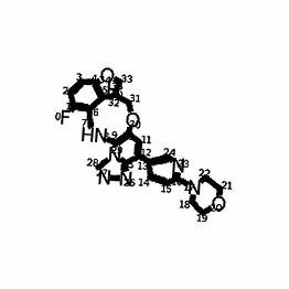 Fc1ccc2c3c1CNc1c(cc(-c4ccc(N5CCOCC5)nc4)c4nncn14)OC[C@H]3CO2